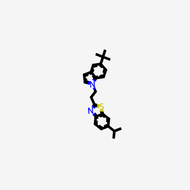 CC(C)c1ccc2nc(CCn3ccc4cc(C(C)(C)C)ccc43)sc2c1